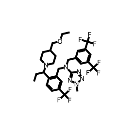 CCOCC1CCN(C(CC)c2ccc(C(F)(F)F)cc2CN(Cc2cc(C(F)(F)F)cc(C(F)(F)F)c2)c2nnn(C)n2)CC1